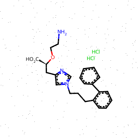 Cl.Cl.NCCO[C@@H](Cc1cn(CCCc2ccccc2-c2ccccc2)cn1)C(=O)O